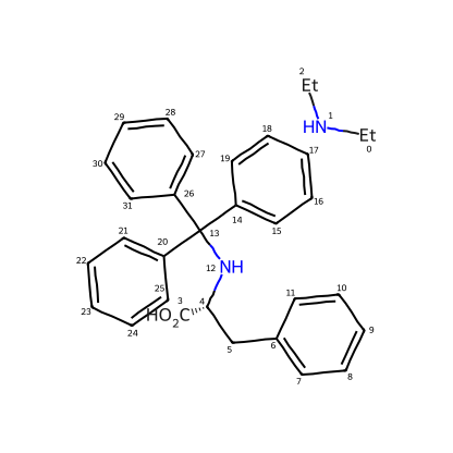 CCNCC.O=C(O)[C@@H](Cc1ccccc1)NC(c1ccccc1)(c1ccccc1)c1ccccc1